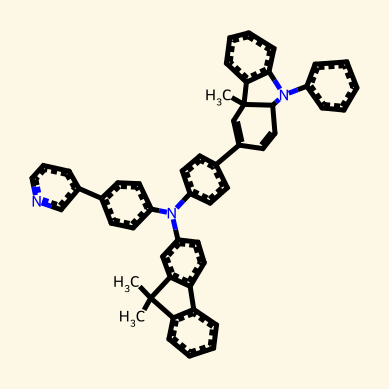 CC1(C)c2ccccc2-c2ccc(N(c3ccc(C4=CC5(C)c6ccccc6N(c6ccccc6)C5C=C4)cc3)c3ccc(-c4cccnc4)cc3)cc21